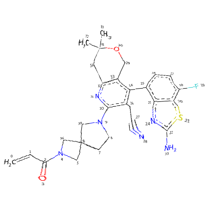 C=CC(=O)N1CC2(CCN(c3nc4c(c(-c5ccc(F)c6sc(N)nc56)c3C#N)COC(C)(C)C4)C2)C1